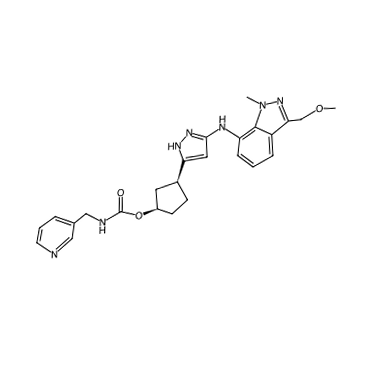 COCc1nn(C)c2c(Nc3cc([C@H]4CC[C@@H](OC(=O)NCc5cccnc5)C4)[nH]n3)cccc12